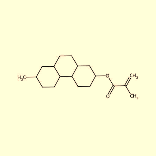 C=C(C)C(=O)OC1CCC2C(CCC3CC(C)CCC32)C1